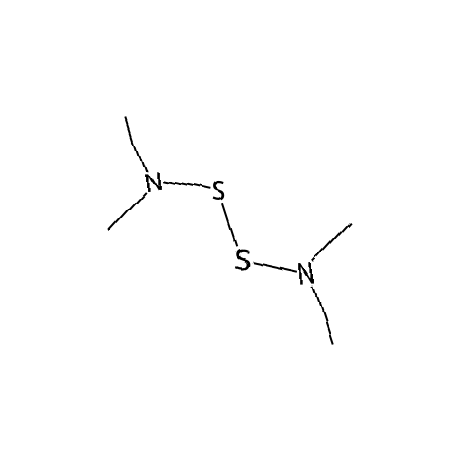 CN(C)SSN(C)C